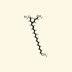 [CH2]CCCCCCCCCCCCC=CCC(CCC)CCC[CH2]